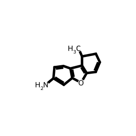 CC1CC=Cc2oc3cc(N)ccc3c21